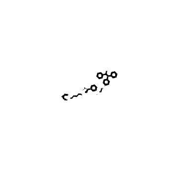 CC/C(=C(\c1ccccc1)c1ccc(OCCN(C)c2cccc(-c3cn(CCCCCn4ccc(=O)c(O)c4C)nn3)c2)cc1)c1ccccc1